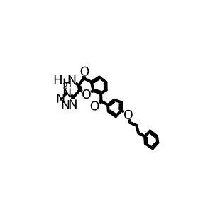 Nc1c(-c2nnn[nH]2)oc2c(C(=O)c3ccc(OCCCc4ccccc4)cc3)cccc2c1=O